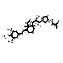 C=C1[C@H](O)CC(=C/C=C2\CCC[C@]3(C)[C@@H]([C@H](C)CN4CC[C@H](OCC(F)F)C4)CC[C@@H]23)C[C@H]1O